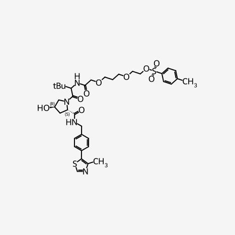 Cc1ccc(S(=O)(=O)OCCOCCCOCC(=O)NC(C(=O)N2C[C@H](O)C[C@H]2C(=O)NCc2ccc(-c3scnc3C)cc2)C(C)(C)C)cc1